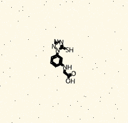 O=C(O)CNc1cccc(-n2nnnc2S)c1